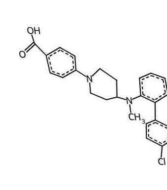 CN(c1ccccc1-c1ccc(Cl)cc1)C1CCN(c2ccc(C(=O)O)cc2)CC1